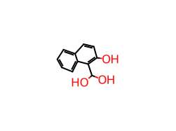 Oc1ccc2ccccc2c1C(O)O